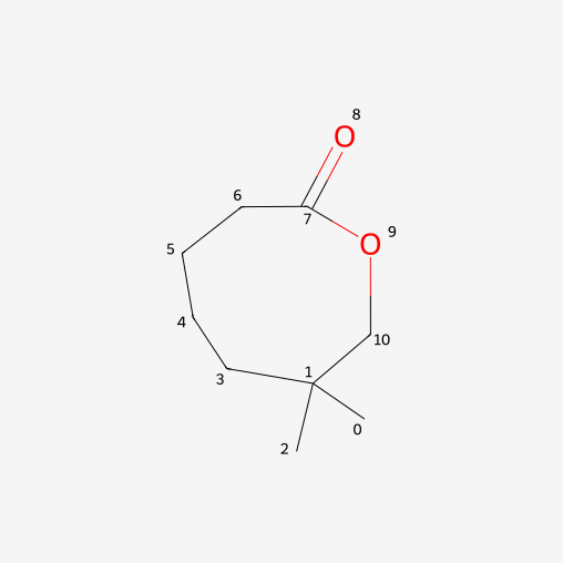 CC1(C)CCCCC(=O)OC1